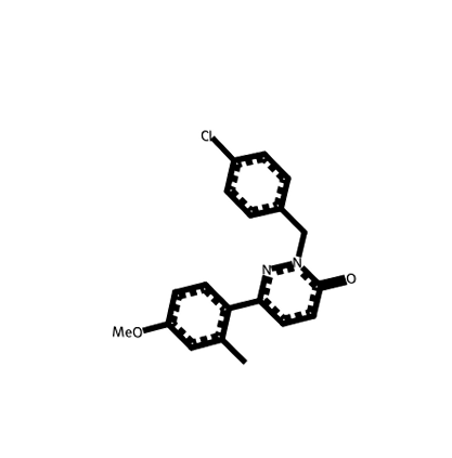 COc1ccc(-c2ccc(=O)n(Cc3ccc(Cl)cc3)n2)c(C)c1